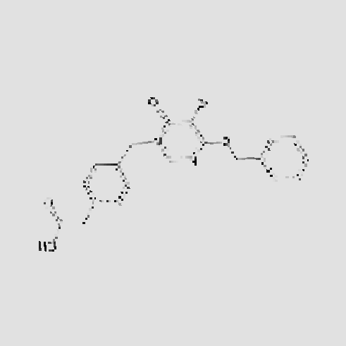 O=C(O)Cc1ccc(Cn2cnc(OCc3ccccc3)c(Br)c2=O)cc1